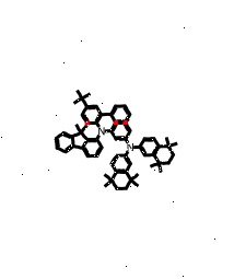 Cc1cc(N(c2ccc3c(c2)C(C)(C)CCC3(C)C)c2ccc3c(c2)C(C)(C)CCC3(C)C)cc(N(c2ccc(C(C)(C)C)cc2-c2ccccc2)c2cccc3c2C(C)(C)c2ccccc2-3)c1